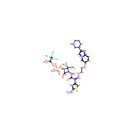 CC1(C)C(NC(=O)C(=NOCCOc2ccc3nc(C4CCCNC4)cn3c2)c2csc(N)n2)C(=O)N1OS(=O)(=O)O.O=C(O)C(F)(F)F